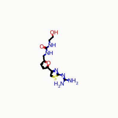 NC(N)=Nc1nc(-c2ccc(CNC(=O)NCCO)o2)cs1